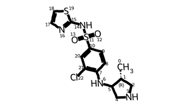 C[C@@H]1CNCC1Nc1ccc(S(=O)(=O)Nc2nccs2)cc1Cl